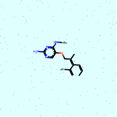 C=C(CCC)C(/C=C\C)=C(/C)COc1cnc(N)nc1NCCCC